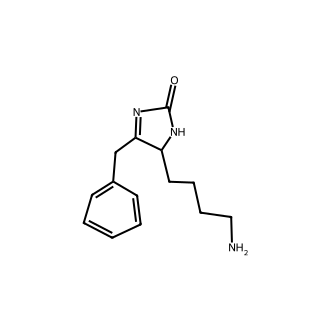 NCCCCC1NC(=O)N=C1Cc1ccccc1